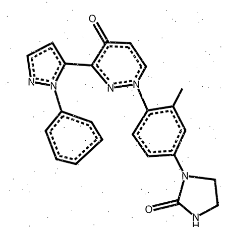 Cc1cc(N2CCNC2=O)ccc1-n1ccc(=O)c(-c2ccnn2-c2ccccc2)n1